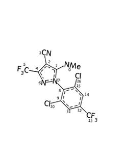 CNc1c(C#N)c(C(F)(F)F)nn1-c1c(Cl)cc(C(F)(F)F)cc1Cl